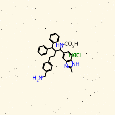 Cc1nc2cc(C(NC(=O)O)C(CCc3ccc(CN)cc3)C(c3ccccc3)c3ccccc3)ccc2[nH]1.Cl.Cl